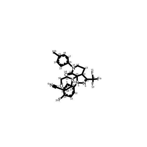 N#Cc1cc(N2N=C(C(F)(F)F)C3CCN(c4ccc(I)cc4)C(=O)C32N2CCOCC2)ccc1F